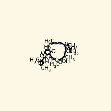 CO[C@H]1/C=C\C=C(/C)C(=O)NC2=CC(=O)C(NC(=O)c3cc(C)nn3C)=C(C[C@@H](C)C[C@H](OC)[C@H](O)[C@@H](C)/C=C(\C)[C@@H]1OC(N)=O)C2=O